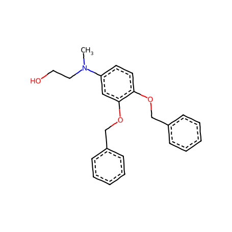 CN(CCO)c1ccc(OCc2ccccc2)c(OCc2ccccc2)c1